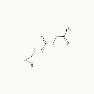 O=C(O)CCC(=O)OCC1CO1